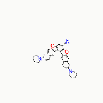 N#Cc1cc2oc3cc4cc(N5CCCCC5)ccc4cc3c2c2c1oc1cc3cc(N4CCCCC4)ccc3cc12